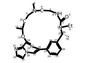 CCN1C(=O)NCCN(C)CCC(C)Oc2nc(cn3ccnc23)-c2cccc(c2)[C@H]1C